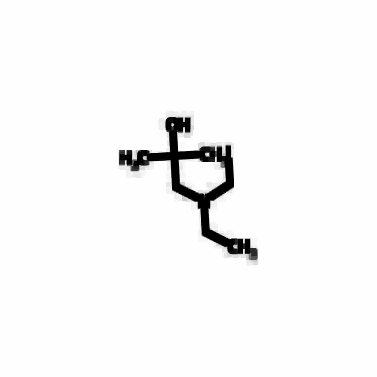 CCN(CI)CC(C)(C)O